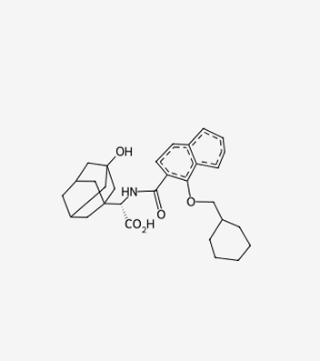 O=C(N[C@H](C(=O)O)C12CC3CC(CC(O)(C3)C1)C2)c1ccc2ccccc2c1OCC1CCCCC1